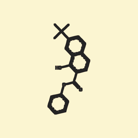 CC(C)(C)c1ccc2ccc(C(=O)Oc3ccccc3)c(O)c2c1